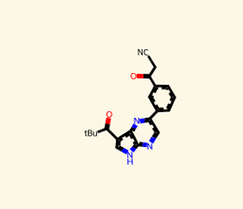 CC(C)(C)C(=O)c1c[nH]c2ncc(-c3cccc(C(=O)CC#N)c3)nc12